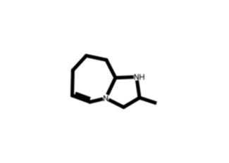 CC1CN2C=CCCCC2N1